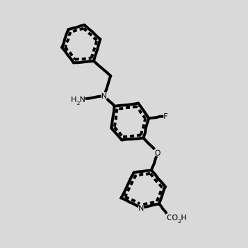 NN(Cc1ccccc1)c1ccc(Oc2ccnc(C(=O)O)c2)c(F)c1